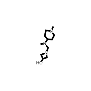 CN1CCC(N(C)CN2CC(O)C2)CC1